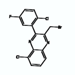 Fc1ccc(Cl)c(-c2nc3c(Cl)cccc3nc2CBr)c1